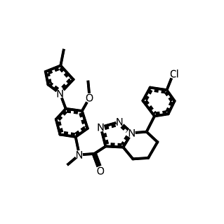 COc1cc(N(C)C(=O)c2nnn3c2CCCC3c2ccc(Cl)cc2)ccc1-n1ccc(C)c1